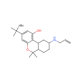 C=CCNC1CCC2C(C1)c1c(O)cc(C(C)(C)CCCC)cc1OC2(C)C